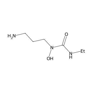 CCNC(=O)N(O)CCCN